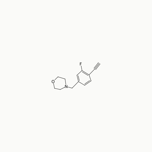 C#Cc1ccc(CN2CCOCC2)cc1F